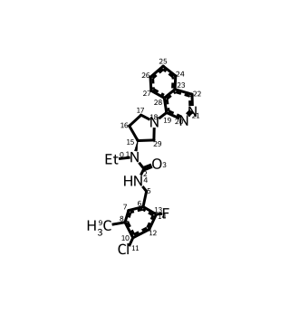 CCN(C(=O)NCc1cc(C)c(Cl)cc1F)[C@H]1CCN(c2nncc3ccccc23)C1